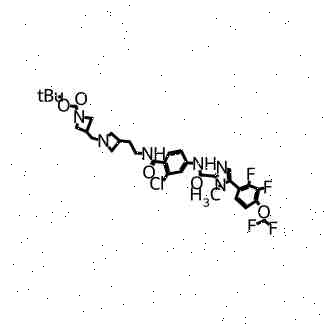 Cn1c(-c2ccc(OC(F)F)c(F)c2F)cnc1C(=O)Nc1ccc(C(=O)NCCC2CN(CC3CN(C(=O)OC(C)(C)C)C3)C2)c(Cl)c1